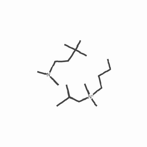 CCCC[N+](C)(C)CC(C)C.CN(C)CCC(C)(C)C